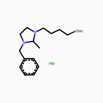 Br.CCCCCCCCCCCCCCN1CCN(Cc2ccccc2)C1C